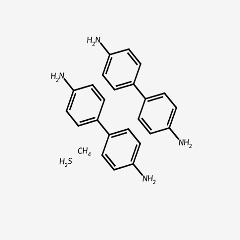 C.Nc1ccc(-c2ccc(N)cc2)cc1.Nc1ccc(-c2ccc(N)cc2)cc1.S